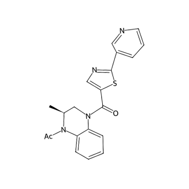 CC(=O)N1c2ccccc2N(C(=O)c2cnc(-c3cccnc3)s2)C[C@@H]1C